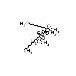 CCCCCCCCCCC(C(=O)OOC(=O)C(CCCCCCCCCC)C(=O)C(C)C)C(=O)C(C)C